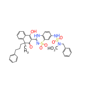 CC1(CCCc2ccccc2)C(=O)C(C2=NS(=O)(=O)c3cc(NS(=O)(=O)N(Cc4ccccc4)C(=O)O)ccc3N2)=C(O)c2ccccc21